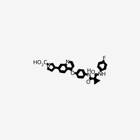 O=C(O)N1CCC(c2ccc3c(Oc4ccc(NC(=O)C5(C(=O)Nc6ccc(F)cc6)CC5)cc4)ccnc3c2)C1